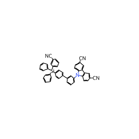 N#Cc1cccc([Si](c2ccccc2)(c2ccccc2)c2ccc(-c3cccc(-n4c5ccc(C#N)cc5c5cc(C#N)ccc54)c3)cc2)c1